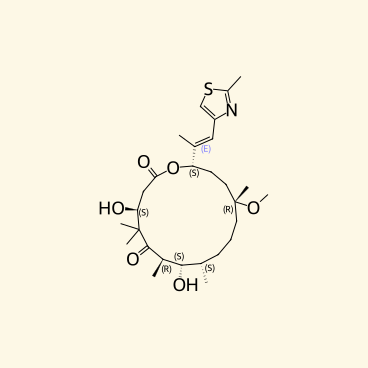 CO[C@]1(C)CCC[C@H](C)[C@H](O)[C@@H](C)C(=O)C(C)(C)[C@@H](O)CC(=O)O[C@H](/C(C)=C/c2csc(C)n2)CC1